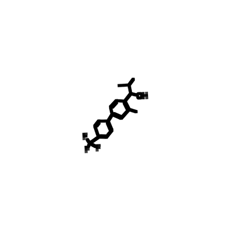 Cc1cc(-c2ccc(C(F)(F)F)cc2)ccc1C(O)C(C)C